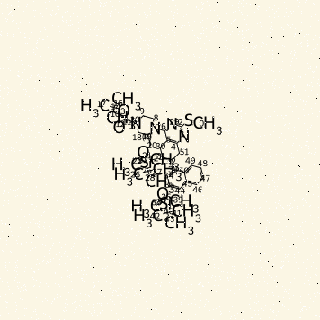 CSc1nc2c(c(N3CCN(C(=O)OC(C)(C)C)C[C@@H]3CO[Si](C)(C)C(C)(C)C)n1)CCC(c1cc(O[Si](C)(C)C(C)(C)C)cc3ccccc13)C2